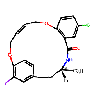 O=C1N[C@H](C(=O)O)Cc2ccc(c(I)c2)OCC=CCOc2ccc(Cl)cc21